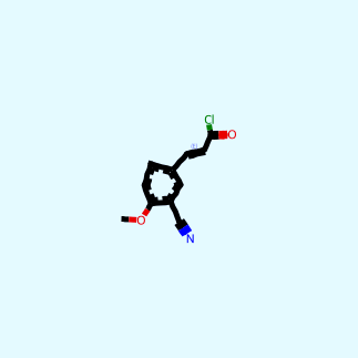 COc1ccc(/C=C/C(=O)Cl)cc1C#N